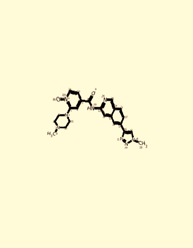 CN1CCN(c2cc(C(=O)Nc3cc4cc(-c5cn(C)nn5)ccc4cn3)cc[n+]2[O-])CC1